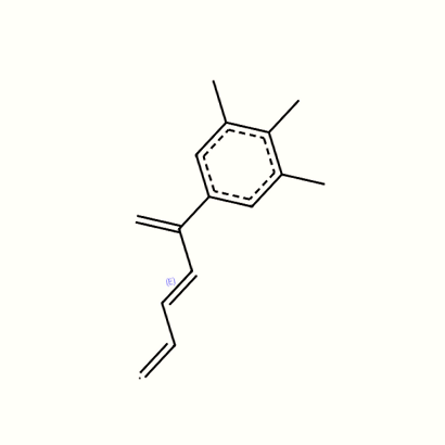 [CH]=C/C=C/C(=C)c1cc(C)c(C)c(C)c1